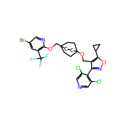 FC(F)(F)c1cc(Br)cnc1OCC12CCC(OCc3c(-c4c(Cl)cncc4Cl)noc3C3CC3)(CC1)CC2